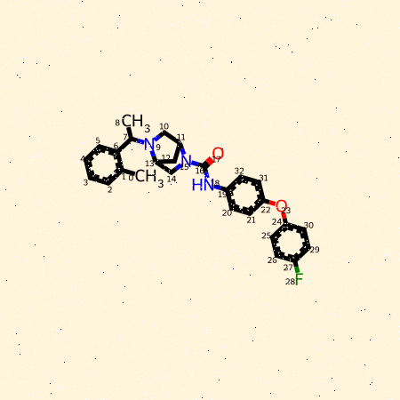 Cc1ccccc1C(C)N1CC2CC1CN2C(=O)Nc1ccc(Oc2ccc(F)cc2)cc1